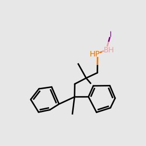 CC(C)(CPBI)CC(C)(c1ccccc1)c1ccccc1